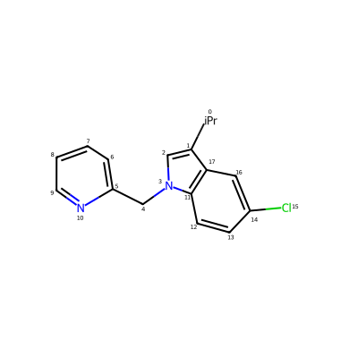 CC(C)c1cn(Cc2ccccn2)c2ccc(Cl)cc12